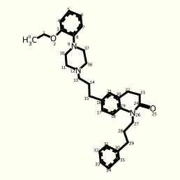 CCOc1ccccc1N1CCN(CCCc2ccc3c(c2)CCC(=O)N3CCCc2ccccc2)CC1